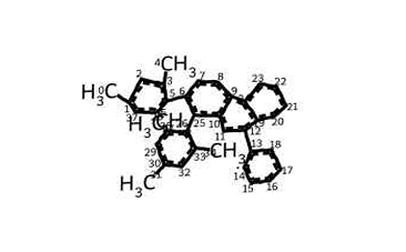 Cc1cc(C)c(-c2ccc3c(cc(-c4[c]cccc4)c4ccccc43)c2-c2c(C)cc(C)cc2C)c(C)c1